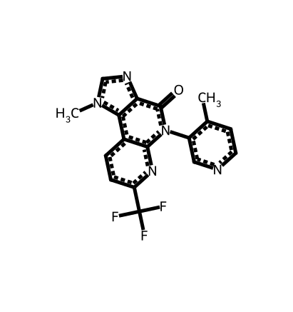 Cc1ccncc1-n1c(=O)c2ncn(C)c2c2ccc(C(F)(F)F)nc21